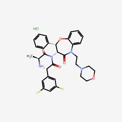 C[C@H](N)C(=O)N(C(=O)Cc1cc(F)cc(F)c1)[C@H]1C(=O)N(CCN2CCOCC2)c2ccccc2O[C@H]1c1ccccc1.Cl